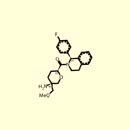 COC[C@]1(N)CC[C@@H](C(=O)N2CCc3ccccc3[C@@H]2c2ccc(F)cc2)OC1